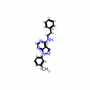 Cc1cccc(-n2ncc3c(NCCc4ccccc4)ncnc32)c1